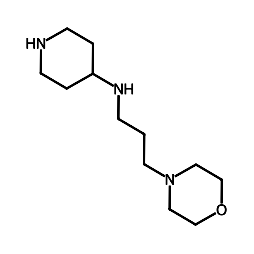 C(CNC1CCNCC1)CN1CCOCC1